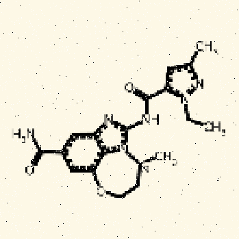 CCn1nc(C)cc1C(=O)Nc1nc2cc(C(N)=O)cc3c2n1[C@@H](C)CCO3